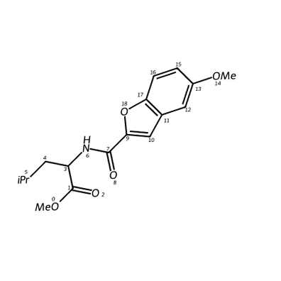 COC(=O)C(CC(C)C)NC(=O)c1cc2cc(OC)ccc2o1